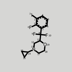 Fc1c(I)cccc1C(F)(F)C1CN(C2CC2)CCO1